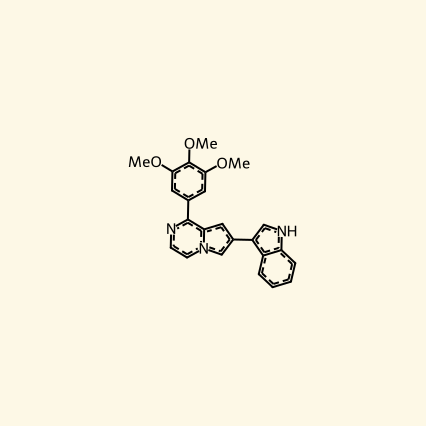 COc1cc(-c2nccn3cc(-c4c[nH]c5ccccc45)cc23)cc(OC)c1OC